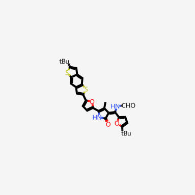 CC1=C(c2ccc(-c3cc4cc5sc(C(C)(C)C)cc5cc4s3)o2)NC(=O)/C1=C(/NC=O)c1ccc(C(C)(C)C)o1